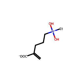 C=C(CCC[N+](O)(O)CC)C(=O)[O-]